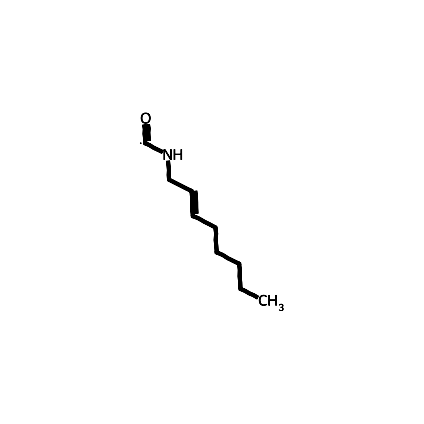 CCCCCC=CCN[C]=O